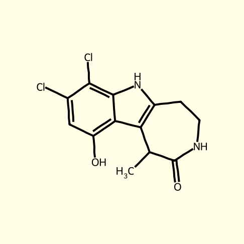 CC1C(=O)NCCc2[nH]c3c(Cl)c(Cl)cc(O)c3c21